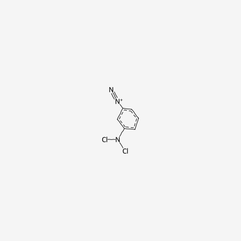 N#[N+]c1cccc(N(Cl)Cl)c1